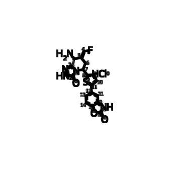 Cl.NC/C(=C/F)CC(c1ccc(-c2ccc3oc(=O)[nH]c3c2)s1)n1cn[nH]c1=O